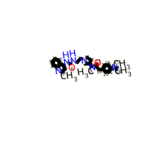 Cc1cc(NC(=O)NCCN2CCC(N(C)C(=O)Cc3ccc(N(C)C)cc3)C2)c2ccccc2n1